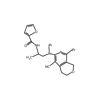 CC(CN(c1nc(C(C)C)c2c(c1C#N)CCOC2)C(C)C)NC(=O)c1ccco1